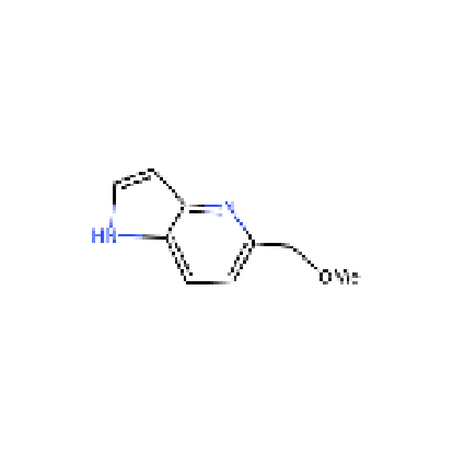 COCc1ccc2[nH]ccc2n1